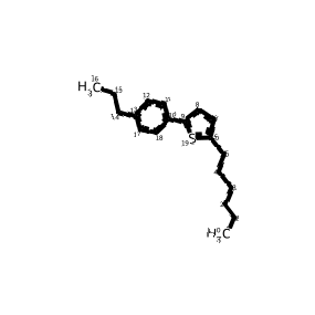 CCCCCCc1ccc(-c2ccc(CCC)cc2)s1